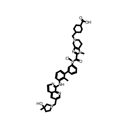 Cc1c(Nc2nccc3cc(CN4CCC(C)(O)C4)cnc23)cccc1-c1cccc(N(Cl)C(=O)c2nc3c(n2C)CCN(CC2CCC(C(=O)O)CC2)C3)c1